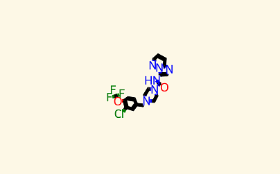 O=C(Nc1cnc2cccnn12)N1CCN(Cc2ccc(OC(F)(F)F)c(Cl)c2)CC1